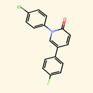 O=c1ccc(-c2ccc(F)cc2)cn1-c1ccc(Cl)cc1